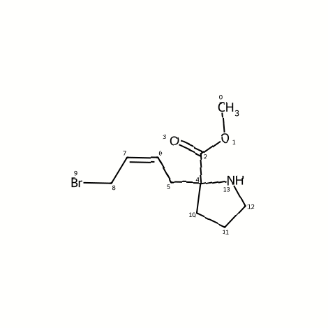 COC(=O)C1(C/C=C\CBr)CCCN1